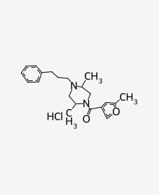 Cc1cc(C(=O)N2CC(C)N(CCCc3ccccc3)CC2C)co1.Cl